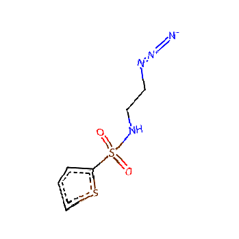 [N-]=[N+]=NCCNS(=O)(=O)c1cccs1